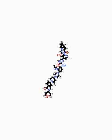 C=CC(=O)Nc1cc(Nc2nc(-c3ccnc(N4CCn5c(cc6c5CC(C)(C)C6)C4=O)c3CO)cn(C)c2=O)ccc1N1CCN(C2CCN(c3ccc4c(c3)CN(C3CCOCC3)C4=O)[C@@H](C)C2)C[C@@H]1C